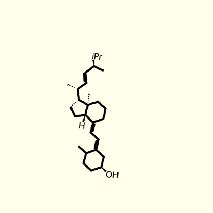 CC1CC[C@H](O)C/C1=C/C=C1\CCC[C@]2(C)[C@@H]([C@H](C)/C=C/[C@H](C)C(C)C)CC[C@@H]12